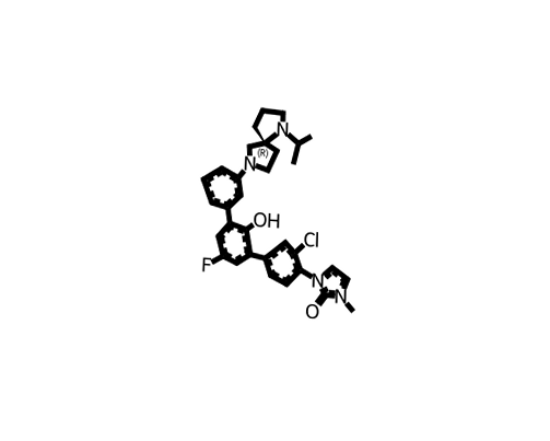 CC(C)N1CCC[C@]12CCN(c1cccc(-c3cc(F)cc(-c4ccc(-n5ccn(C)c5=O)c(Cl)c4)c3O)c1)C2